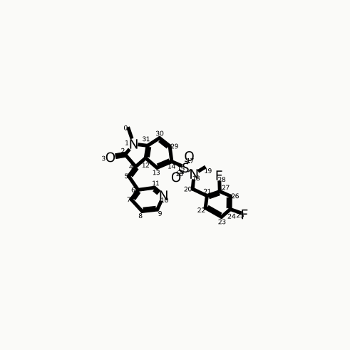 CN1C(=O)/C(=C/c2cccnc2)c2cc(S(=O)(=O)N(C)Cc3ccc(F)cc3F)ccc21